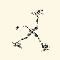 CC(=O)N[C@H]1[C@H](OCCOCCOCCOCCn2cc(COCC(COCc3cn(CCOCCOCCOCCO[C@@H]4O[C@H](CO)[C@H](O)[C@H](O)[C@H]4NC(C)=O)nn3)(COCc3cn(CCOCCOCCOCCO[C@@H]4O[C@H](CO)[C@H](O)[C@H](O)[C@H]4NC(C)=O)nn3)NC(=O)CCCCCN)nn2)O[C@H](CO)[C@H](O)[C@@H]1O.CC(=O)O